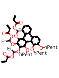 C=CC(=O)OC(CC)Oc1c(OC(CC)OC(=O)C=C)c(OCCCCC)c2c3c(OCCCCC)c(OCCCCC)ccc3c3ccccc3c2c1OC(CC)OC(=O)C=C